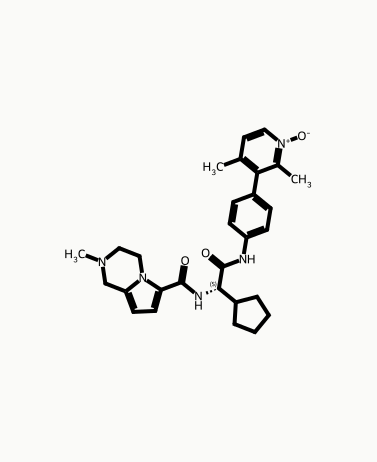 Cc1cc[n+]([O-])c(C)c1-c1ccc(NC(=O)[C@@H](NC(=O)c2ccc3n2CCN(C)C3)C2CCCC2)cc1